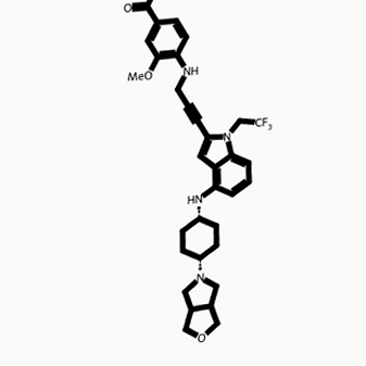 CNC(=O)c1ccc(NCC#Cc2cc3c(N[C@H]4CC[C@@H](N5CC6COCC6C5)CC4)cccc3n2CC(F)(F)F)c(OC)c1